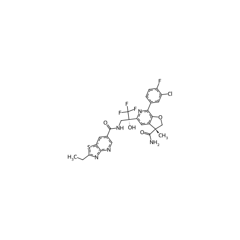 CCc1nc2ncc(C(=O)NC[C@](O)(c3cc4c(c(-c5ccc(F)c(Cl)c5)n3)OC[C@]4(C)C(N)=O)C(F)(F)F)cc2s1